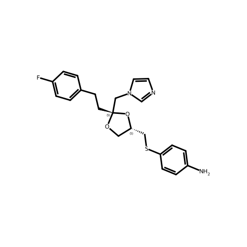 Nc1ccc(SC[C@@H]2CO[C@](CCc3ccc(F)cc3)(Cn3ccnc3)O2)cc1